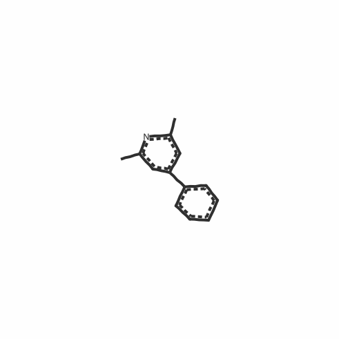 Cc1cc(-c2ccccc2)cc(C)n1